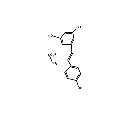 NC(=O)O.Oc1ccc(/C=C/c2cc(O)cc(O)c2)cc1